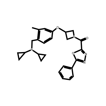 Cc1cc(OC2CN(C(=O)c3nnc(-c4ccccc4)o3)C2)ccc1CN(C1CC1)C1CC1